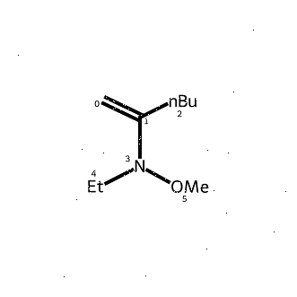 C=C(CCCC)N(CC)OC